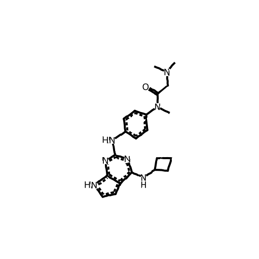 CN(C)CC(=O)N(C)c1ccc(Nc2nc(NC3CCC3)c3cc[nH]c3n2)cc1